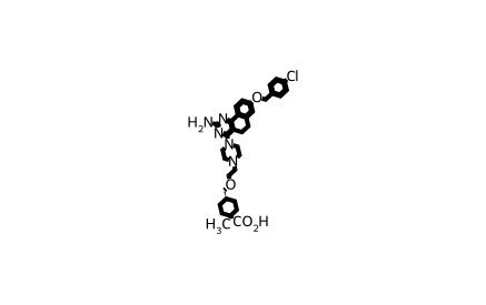 C[C@]1(C(=O)O)CC[C@H](COCCN2CCN(c3nc(N)nc4c3CCc3cc(OCc5ccc(Cl)cc5)ccc3-4)CC2)CC1